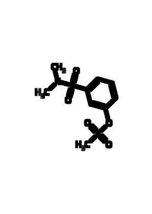 CN(C)S(=O)(=O)c1cccc(OS(C)(=O)=O)c1